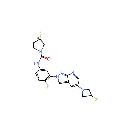 O=C(Nc1ccc(F)c(-n2cc3cc(N4CC(F)C4)cnc3n2)c1)N1CC[C@@H](F)C1